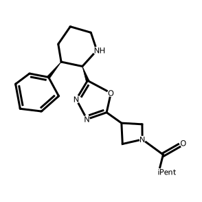 CCCC(C)C(=O)N1CC(c2nnc([C@@H]3NCCC[C@@H]3c3ccccc3)o2)C1